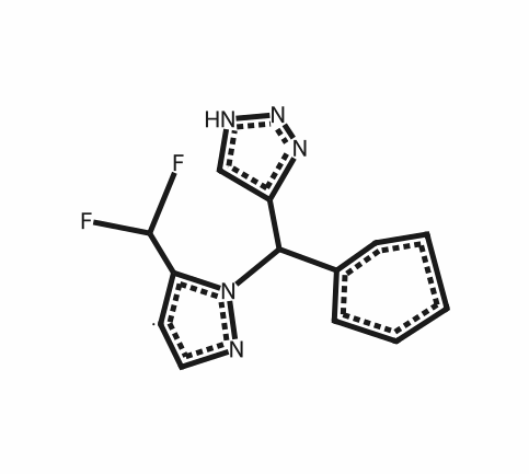 FC(F)c1[c]cnn1C(c1ccccc1)c1c[nH]nn1